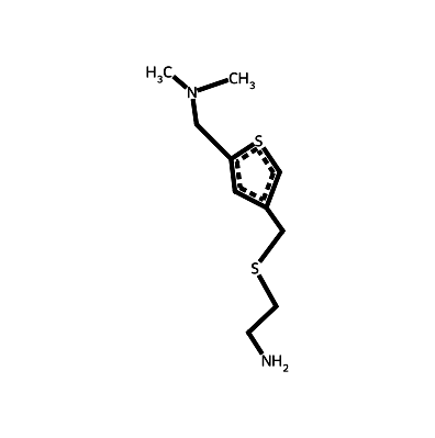 CN(C)Cc1cc(CSCCN)cs1